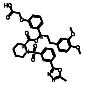 COc1ccc(CC[C@@H](OC(=O)[C@@H]2CCCCN2S(=O)(=O)c2cccc(-c3nnc(C)o3)c2)c2cccc(OCC(=O)O)c2)cc1OC